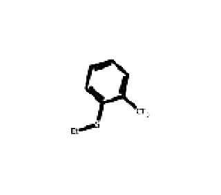 [CH2]CSc1ccccc1C(F)(F)F